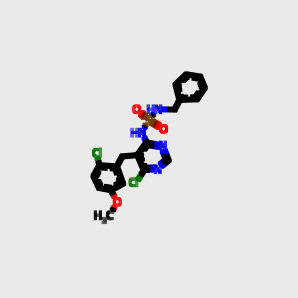 COc1ccc(Cl)c(Cc2c(Cl)ncnc2NS(=O)(=O)NCc2ccccc2)c1